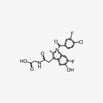 Cc1c(CC(=O)NCC(=O)O)c2cc(O)c(F)cc2n1C(=O)c1ccc(Cl)c(F)c1